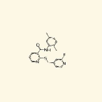 Cc1ccc(C)c(NC(=O)c2cccnc2SCc2ccnc(F)c2)c1